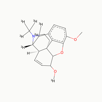 [2H]OC1C=C[C@@H]2[C@@]34CCN(C([2H])([2H])[2H])[C@]2([2H])C([2H])([2H])c2ccc(OC)c(c23)OC14